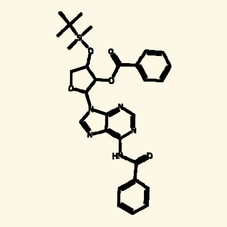 CC(C)(C)[Si](C)(C)OC1COC(n2cnc3c(NC(=O)c4ccccc4)ncnc32)C1OC(=O)c1ccccc1